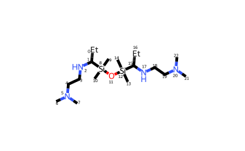 CCC(NCCN(C)C)[Si](C)(C)O[Si](C)(C)C(CC)NCCN(C)C